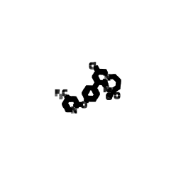 O=S1(=O)CCCN2C=C(Cl)C=C(c3ccc(Oc4cc(C(F)(F)F)ccn4)cc3)C2=N1